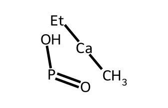 C[CH2][Ca][CH3].O=PO